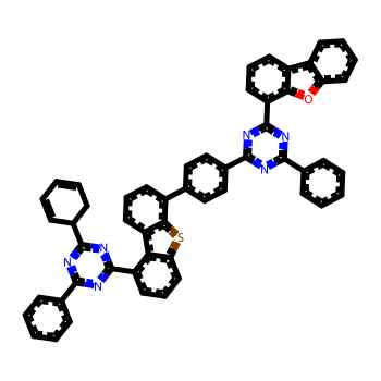 C1=CCC(c2nc(-c3ccccc3)nc(-c3cccc4sc5c(-c6ccc(-c7nc(-c8ccccc8)nc(-c8cccc9c8oc8ccccc89)n7)cc6)cccc5c34)n2)C=C1